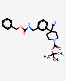 CC(C)(C)OC(=O)N1CCC(C#N)(c2cccc(CNC(=O)OCc3ccccc3)c2)CC1